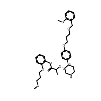 COCCCOc1ccccc1NC(=O)C(C)O[C@H]1CNCC[C@@H]1c1ccc(OCCCOCc2ccccc2OC)cc1